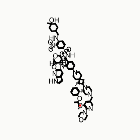 COc1cc(CN2CCN([C@@H]3CC4(CCN(c5ccc(C(=O)NS(=O)(=O)c6ccc(NCC7CCC(C)(O)CC7)c([N+](=O)[O-])c6)c(N6c7cc8cc[nH]c8nc7O[C@H]7COCC[C@@H]76)c5)CC4)[C@H]3C)[C@@H](c3ccccc3OC(C)C)C2)cnc1N1CCOCC1